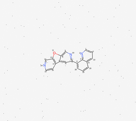 c1cnc2c(-c3cc4c(cn3)oc3cnccc34)cccc2c1